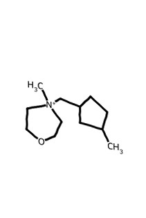 CC1CCC(C[N+]2(C)CCOCC2)C1